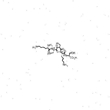 CC(C)C[C@H](NC(=O)[C@H](CS)NC(=O)[C@@H](N)CCCCN)C(=O)N[C@@H](CCCCN)C(=O)N[C@@H](CO)C(=O)O